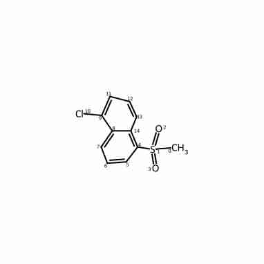 CS(=O)(=O)c1cccc2c(Cl)cccc12